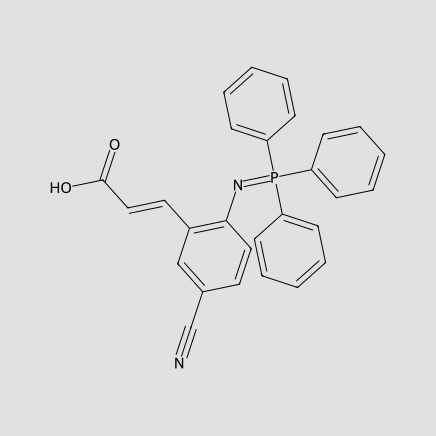 N#Cc1ccc(N=P(c2ccccc2)(c2ccccc2)c2ccccc2)c(/C=C/C(=O)O)c1